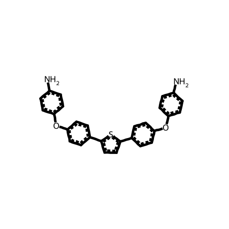 Nc1ccc(Oc2ccc(-c3ccc(-c4ccc(Oc5ccc(N)cc5)cc4)s3)cc2)cc1